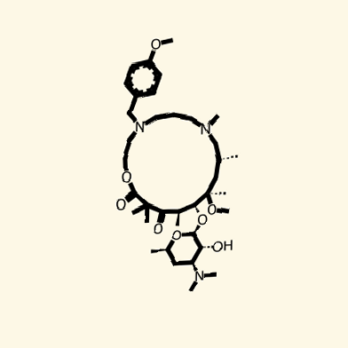 COc1ccc(CN2CCCN(C)C[C@H](C)C[C@@](C)(OC)[C@H](O[C@@H]3O[C@H](C)C[C@H](N(C)C)[C@H]3O)[C@@H](C)C(=O)C(C)(C)C(=O)OCC2)cc1